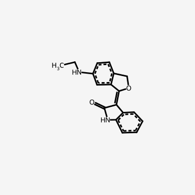 CCNc1ccc2c(c1)C(=C1C(=O)Nc3ccccc31)OC2